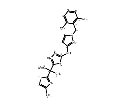 COC(C)(c1nc(C)cs1)c1nnc(Nc2ccn(Cc3c(F)cccc3Cl)n2)s1